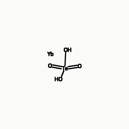 O=[Te](=O)(O)O.[Yb]